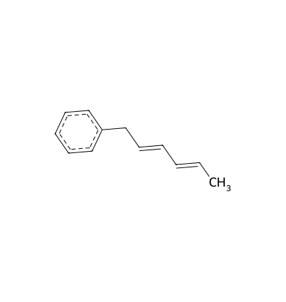 C/C=C/C=C/Cc1ccccc1